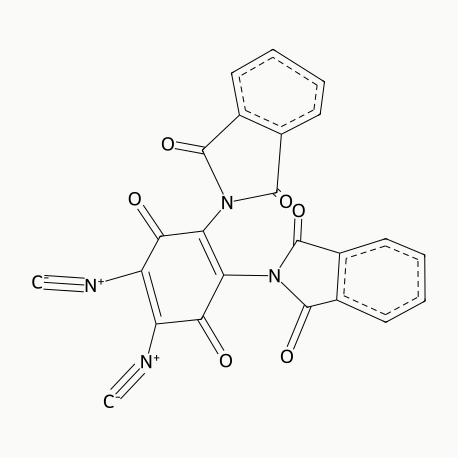 [C-]#[N+]C1=C([N+]#[C-])C(=O)C(N2C(=O)c3ccccc3C2=O)=C(N2C(=O)c3ccccc3C2=O)C1=O